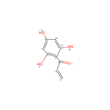 C=CC(=O)c1c(O)cc(O)cc1O